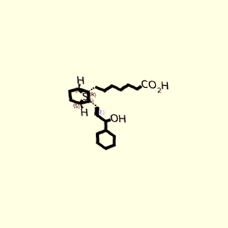 O=C(O)CCCCCC[C@@H]1[C@H](/C=C/C(O)C2CCCCC2)[C@@H]2CC[C@H]1S2